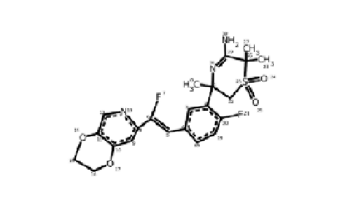 CC1(c2cc(C=C(F)c3cc4c(cn3)OCCO4)ccc2F)CS(=O)(=O)C(C)(C)C(N)=N1